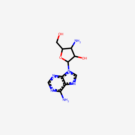 Nc1ncnc2c1ncn2C1OC(CO)C(N)C1O